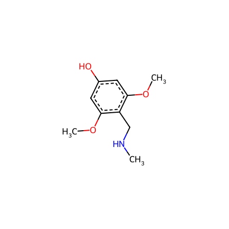 CNCc1c(OC)cc(O)cc1OC